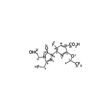 CC(Oc1nc(-n2nc(CF)n(CC=O)c2=O)c(F)cc1C(=O)O)C(F)(F)F